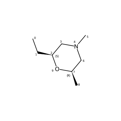 CC[C@H]1CN(C)C[C@@H](C)O1